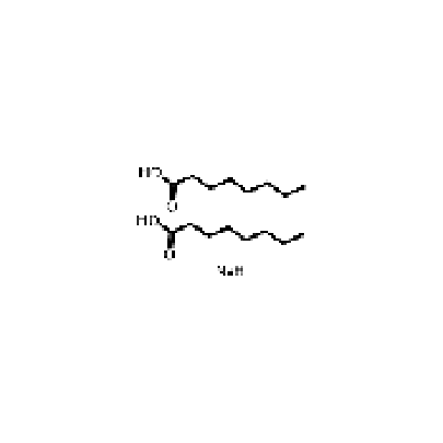 CCCCCCCC(=O)O.CCCCCCCC(=O)O.[NaH]